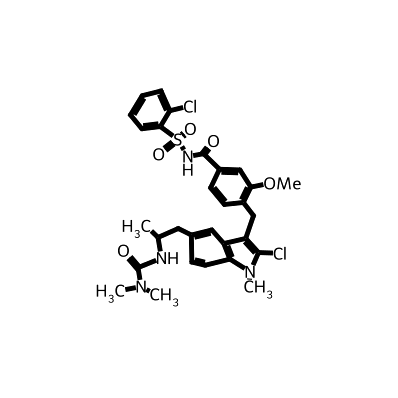 COc1cc(C(=O)NS(=O)(=O)c2ccccc2Cl)ccc1Cc1c(Cl)n(C)c2ccc(CC(C)NC(=O)N(C)C)cc12